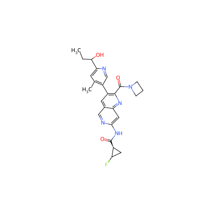 CCC(O)c1cc(C)c(-c2cc3cnc(NC(=O)[C@H]4C[C@H]4F)cc3nc2C(=O)N2CCC2)cn1